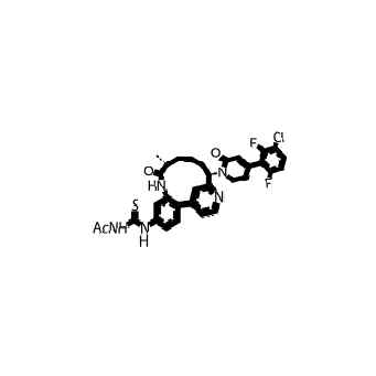 CC(=O)NC(=S)Nc1ccc2c(c1)NC(=O)[C@H](C)CCC[C@H](N1CCC(c3c(F)ccc(Cl)c3F)=CC1=O)c1cc-2ccn1